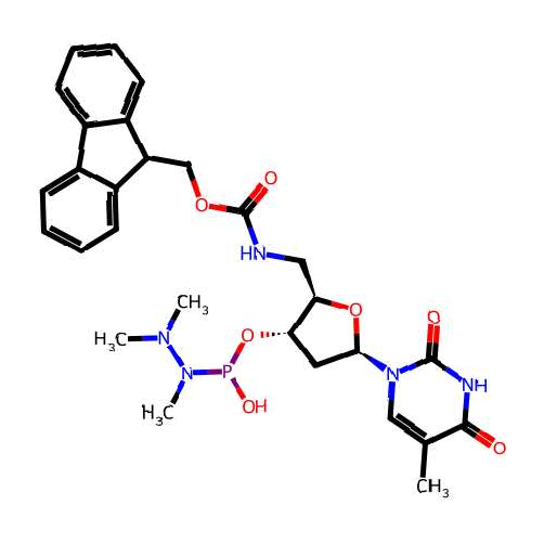 Cc1cn([C@H]2C[C@H](OP(O)N(C)N(C)C)[C@@H](CNC(=O)OCC3c4ccccc4-c4ccccc43)O2)c(=O)[nH]c1=O